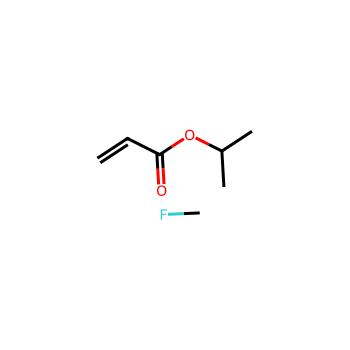 C=CC(=O)OC(C)C.CF